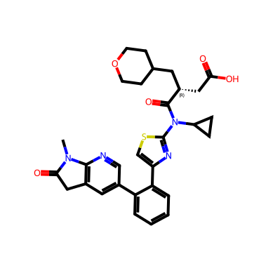 CN1C(=O)Cc2cc(-c3ccccc3-c3csc(N(C(=O)[C@@H](CC(=O)O)CC4CCOCC4)C4CC4)n3)cnc21